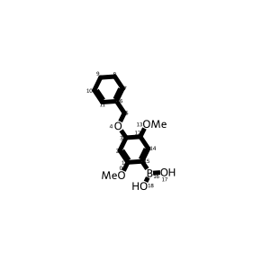 COC1=CC(OCC2=CCCC=C2)C(OC)C=C1B(O)O